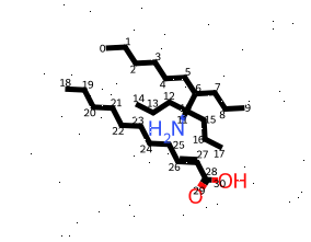 CCCCCCC(CCC)C(N)(CCC)CCC.CCCCCCCCC=CC(=O)O